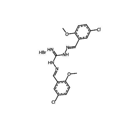 Br.COc1ccc(Cl)cc1C=NNC(=N)NN=Cc1cc(Cl)ccc1OC